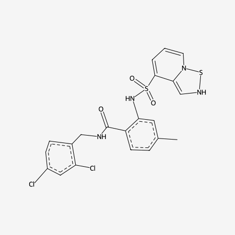 Cc1ccc(C(=O)NCc2ccc(Cl)cc2Cl)c(NS(=O)(=O)C2=CC=CN3SNC=C23)c1